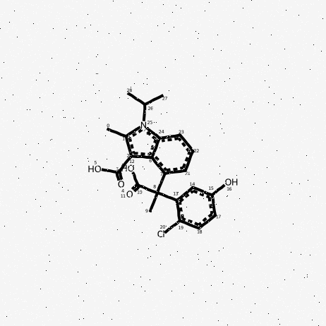 Cc1c(C(=O)O)c2c(C(C)(C(=O)O)c3cc(O)ccc3Cl)cccc2n1C(C)C